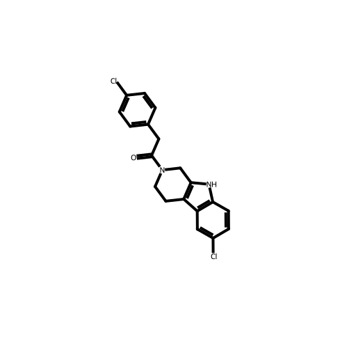 O=C(Cc1ccc(Cl)cc1)N1CCc2c([nH]c3ccc(Cl)cc23)C1